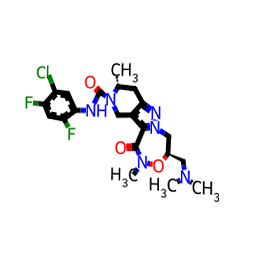 C[C@@H]1Cc2nn3c(c2CN1C(=O)Nc1cc(Cl)c(F)cc1F)C(=O)N(C)O[C@H](CN(C)C)C3